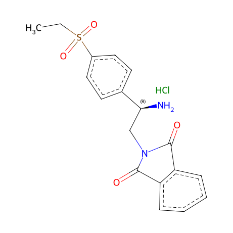 CCS(=O)(=O)c1ccc([C@@H](N)CN2C(=O)c3ccccc3C2=O)cc1.Cl